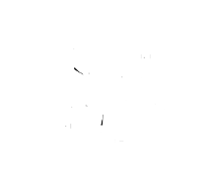 COC[C@H]1O[C@H](ON)[C@H](OC)[C@@H](OC)[C@@H]1OC